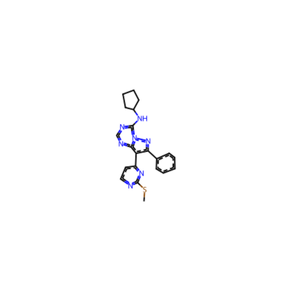 CSc1nccc(-c2c(-c3ccccc3)nn3c(NC4CCCC4)ncnc23)n1